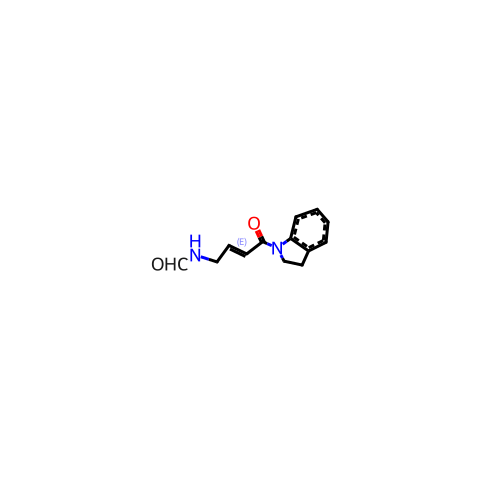 O=CNC/C=C/C(=O)N1CCc2ccccc21